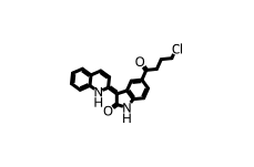 O=C1Nc2ccc(C(=O)CCCCl)cc2/C1=C1\C=Cc2ccccc2N1